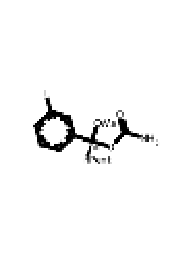 CCCCC[C@@](OC)(OC(N)=O)c1cccc(I)c1